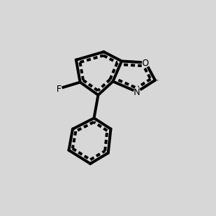 Fc1ccc2o[c]nc2c1-c1ccccc1